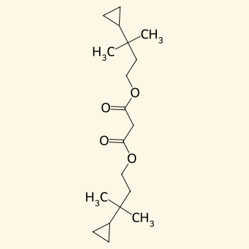 CC(C)(CCOC(=O)CC(=O)OCCC(C)(C)C1CC1)C1CC1